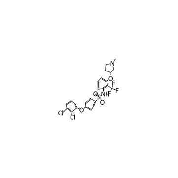 CN1CC[C@@H](Oc2cccc(NS(=O)(=O)c3ccc(Oc4cccc(Cl)c4Cl)cc3)c2C(F)(F)F)C1